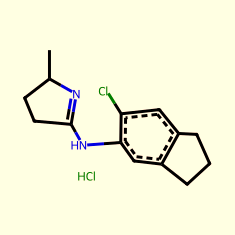 CC1CCC(Nc2cc3c(cc2Cl)CCC3)=N1.Cl